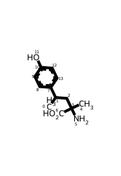 CC(CC(C)(N)C(=O)O)c1ccc(O)cc1